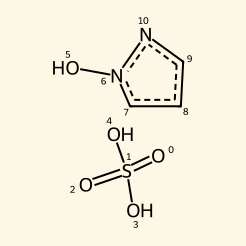 O=S(=O)(O)O.On1cccn1